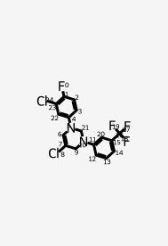 Fc1ccc(N2C=C(Cl)CN(c3cccc(C(F)(F)F)c3)C2)cc1Cl